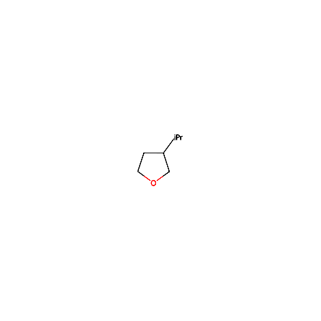 CC(C)C1CCOC1